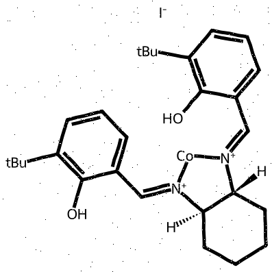 CC(C)(C)c1cccc(C=[N+]2[Co][N+](=Cc3cccc(C(C)(C)C)c3O)[C@@H]3CCCC[C@H]32)c1O.[I-]